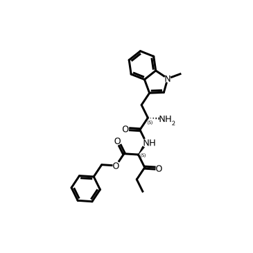 CCC(=O)[C@H](NC(=O)[C@@H](N)Cc1cn(C)c2ccccc12)C(=O)OCc1ccccc1